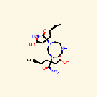 C#CCCC(CC(=O)O)(C(N)=O)N1CCNCCN(C(CCC#C)(CC(=O)O)C(N)=O)CC1